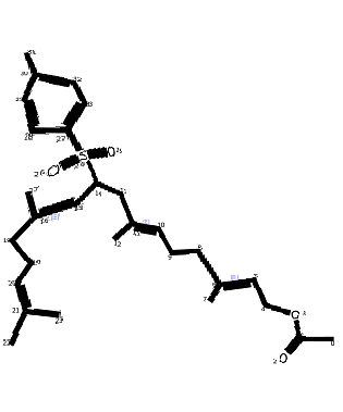 CC(=O)OC/C=C(\C)CC/C=C(\C)CC(/C=C(\C)CCC=C(C)C)S(=O)(=O)c1ccc(C)cc1